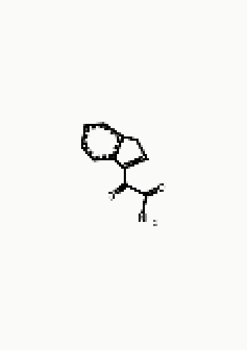 NC(=O)C(=O)C1=CCc2ccccc21